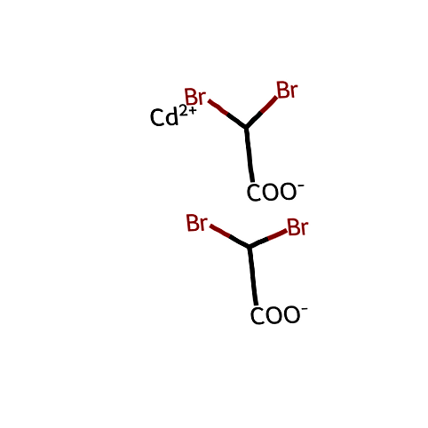 O=C([O-])C(Br)Br.O=C([O-])C(Br)Br.[Cd+2]